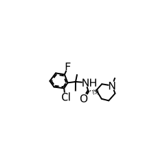 CN1CCC[C@H](C(=O)NC(C)(C)c2c(F)cccc2Cl)C1